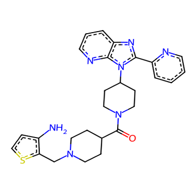 Nc1ccsc1CN1CCC(C(=O)N2CCC(n3c(-c4ccccn4)nc4cccnc43)CC2)CC1